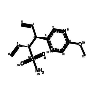 C=C[C@H]([C@@H](C=C)c1cnc(OC)cn1)S(N)(=O)=O